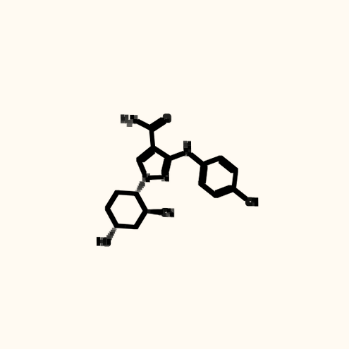 N#Cc1ccc(Nc2nn([C@H]3CC[C@@H](O)C[C@@H]3C#N)cc2C(N)=O)cc1